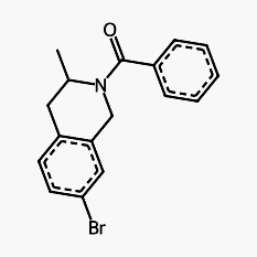 CC1Cc2ccc(Br)cc2CN1C(=O)c1ccccc1